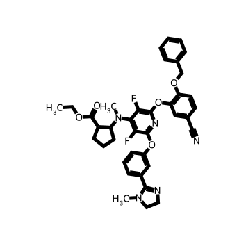 CCOC(=O)C1CCCC1N(C)c1c(F)c(Oc2cccc(C3=NCCN3C)c2)nc(Oc2cc(C#N)ccc2OCc2ccccc2)c1F